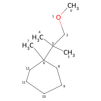 COCC(C)(C)C1(C)CCCCC1